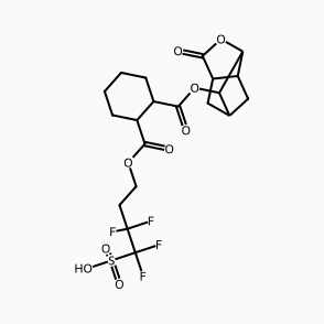 O=C(OCCC(F)(F)C(F)(F)S(=O)(=O)O)C1CCCCC1C(=O)OC1C2CC3C(=O)OC1C3C2